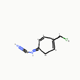 N#CN=C1C=CC(CCl)=CC1